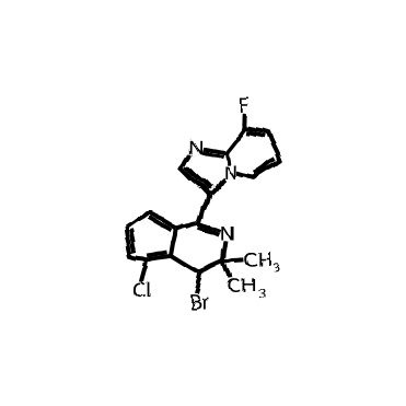 CC1(C)N=C(c2cnc3c(F)cccn23)c2cccc(Cl)c2C1Br